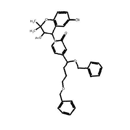 CC(=O)OC1C(n2ccc(C(CCCOCc3ccccc3)OCc3ccccc3)cc2=O)c2cc(C#N)ccc2OC1(C)C